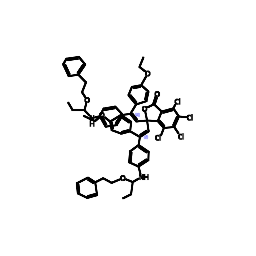 CCOc1ccc(/C(=C\C2(/C=C(/c3ccc(NC(CC)OCCc4ccccc4)cc3)c3ccc(OCC)cc3)OC(=O)c3c(Cl)c(Cl)c(Cl)c(Cl)c32)c2ccc(NC(CC)OCCc3ccccc3)cc2)cc1